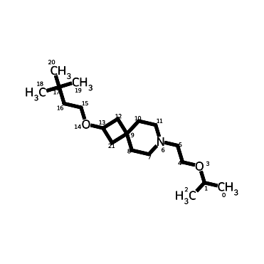 CC(C)OCCN1CCC2(CC1)CC(OCCC(C)(C)C)C2